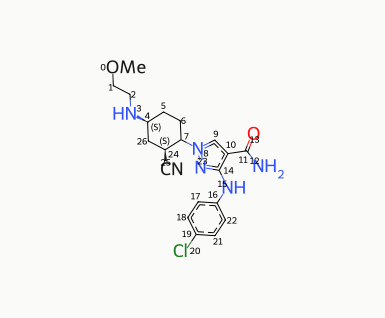 COCCN[C@H]1CCC(n2cc(C(N)=O)c(Nc3ccc(Cl)cc3)n2)[C@@H](C#N)C1